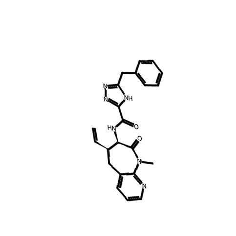 C=C[C@@H]1Cc2cccnc2N(C)C(=O)[C@@H]1NC(=O)c1nnc(Cc2ccccc2)[nH]1